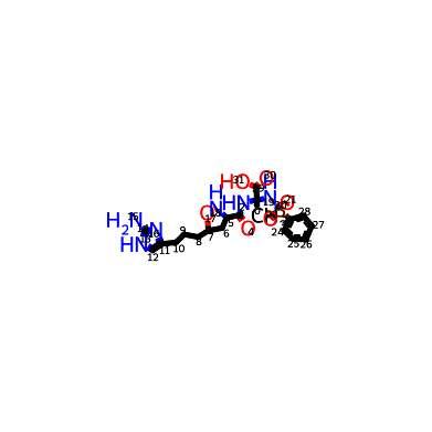 CC(NC(=O)C1CC(CCCc2c[nH]c(N)n2)ON1)(NS(=O)(=O)c1ccccc1)C(=O)O